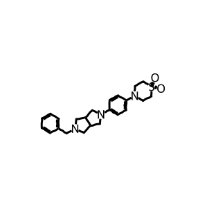 O=S1(=O)CCN(c2ccc(N3CC4CN(Cc5ccccc5)CC4C3)cc2)CC1